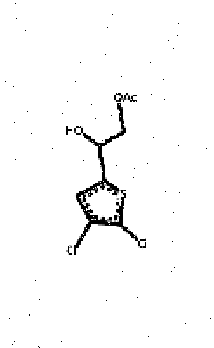 CC(=O)OCC(O)c1cc(Cl)c(Cl)s1